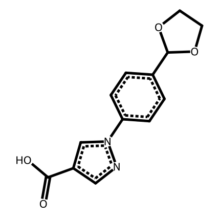 O=C(O)c1cnn(-c2ccc(C3OCCO3)cc2)c1